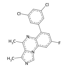 Cc1ncn2c1c(C)nc1c(-c3cc(Cl)cc(Cl)c3)cc(F)cc12